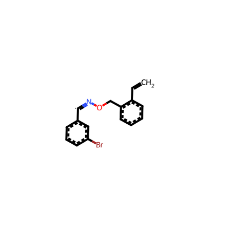 C=Cc1ccccc1CO/N=[C]\c1cccc(Br)c1